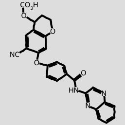 N#Cc1cc2c(cc1Oc1ccc(C(=O)Nc3cnc4ccccc4n3)cc1)OCCC2OC(=O)O